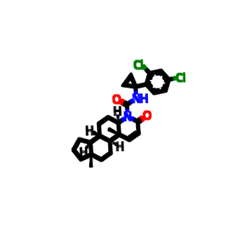 C[C@@]12CCC[C@H]1[C@@H]1CC[C@H]3N(C(=O)NC4(c5ccc(Cl)cc5Cl)CC4)C(=O)C=C[C@]3(C)[C@H]1CC2